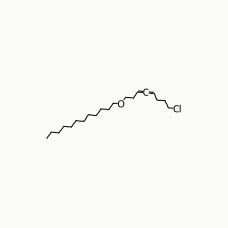 CCCCCCCCCCCCOCCC=C=CCCCCl